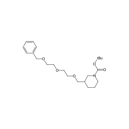 CC(C)(C)OC(=O)N1CCCC(COCCOCCOCc2ccccc2)C1